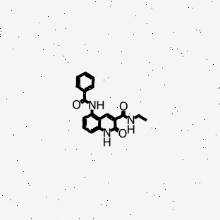 CCNC(=O)c1cc2c(NC(=O)c3ccccc3)cccc2[nH]c1=O